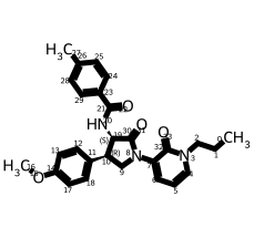 CCCn1cccc(N2C[C@@H](c3ccc(OC)cc3)[C@H](NC(=O)c3ccc(C)cc3)C2=O)c1=O